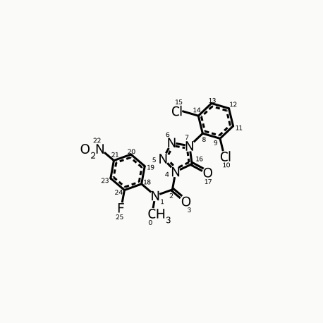 CN(C(=O)n1nnn(-c2c(Cl)cccc2Cl)c1=O)c1ccc([N+](=O)[O-])cc1F